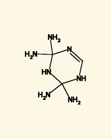 NC1(N)N=CNC(N)(N)N1